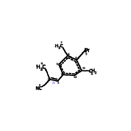 C/C(C#N)=C\c1cc(C)c(C(C)C)c(C)c1